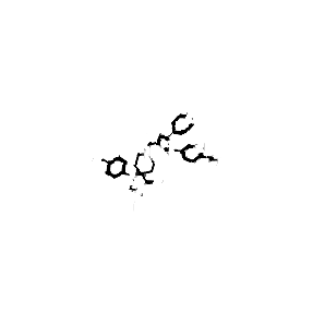 O=C(c1cc(-c2ccncc2)n(-c2ccc(C(F)(F)F)nc2)n1)N1CCC2(CC1)C(=O)NCN2c1ccc(Cl)cc1